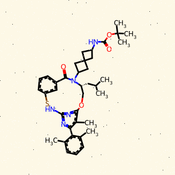 Cc1cccc(C)c1-c1nc2nc(c1C)OC[C@@H](CC(C)C)N(C1CC3(CC(NC(=O)OC(C)(C)C)C3)C1)C(=O)c1cccc(c1)SN2